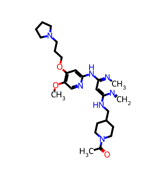 C=N/C(=C\C(=N/C)Nc1cc(OCCCN2CCCC2)c(OC)cn1)NCC1CCN(C(C)=O)CC1